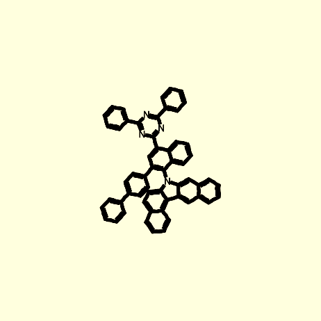 c1ccc(-c2ccc(-c3cc(-c4nc(-c5ccccc5)nc(-c5ccccc5)n4)c4ccccc4c3-n3c4cc5ccccc5cc4c4c5ccccc5ccc43)cc2)cc1